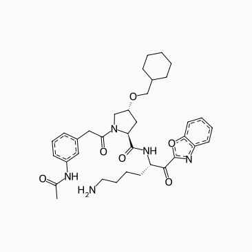 CC(=O)Nc1cccc(CC(=O)N2C[C@H](OCC3CCCCC3)C[C@H]2C(=O)N[C@@H](CCCCN)C(=O)c2nc3ccccc3o2)c1